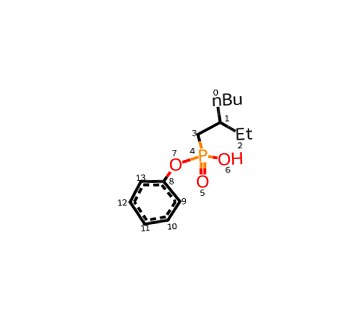 CCCCC(CC)CP(=O)(O)Oc1ccccc1